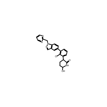 O=C1NC(O)CCC1c1cccc(-c2ccc3c(cnn3Cc3ncccn3)c2)c1Cl